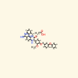 CC(=O)O.COc1cc(C(Nc2ccc(C(=N)N)cc2)C(=O)NCc2ccccc2)ccc1OCc1cccc(Oc2ccccc2)c1